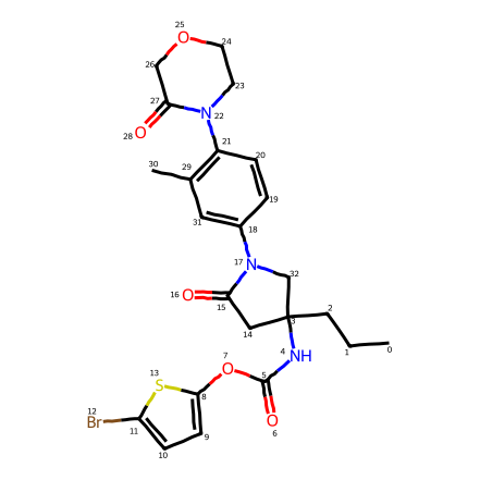 CCCC1(NC(=O)Oc2ccc(Br)s2)CC(=O)N(c2ccc(N3CCOCC3=O)c(C)c2)C1